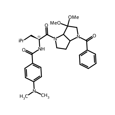 COC1(OC)CN(C(=O)c2ccccc2)C2CCN(C(=O)[C@H](CC(C)C)NC(=O)c3ccc(N(C)C)cc3)C21